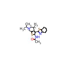 CC(=O)Nc1sc2c(c1-c1nc3ccccc3s1)[C@H](C)CN(C(C)C)C2